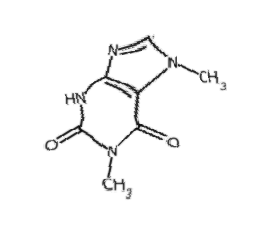 Cn1c(=O)[nH]c2n[c]n(C)c2c1=O